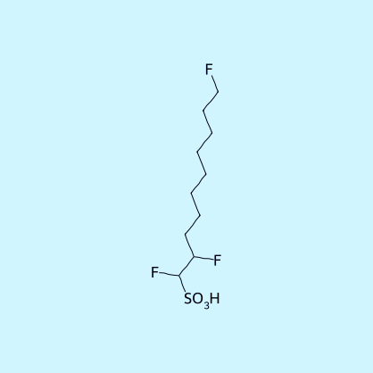 O=S(=O)(O)C(F)C(F)CCCCCCCCF